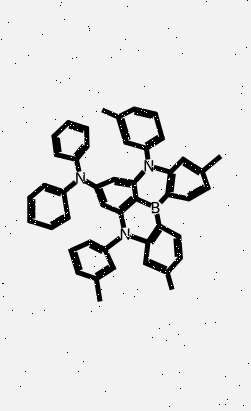 Cc1cccc(N2c3cc(C)ccc3B3c4ccc(C)cc4N(c4cccc(C)c4)c4cc(N(c5ccccc5)c5ccccc5)cc2c43)c1